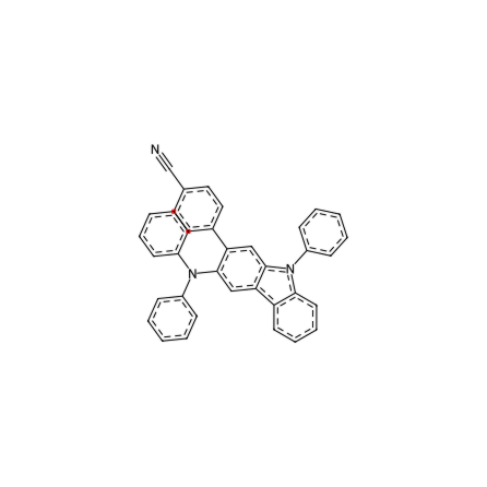 N#Cc1ccc(-c2cc3c(cc2N(c2ccccc2)c2ccccc2)c2ccccc2n3-c2ccccc2)cc1